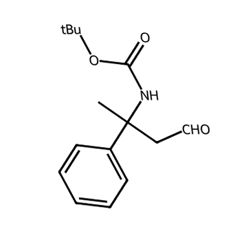 CC(C)(C)OC(=O)NC(C)(CC=O)c1ccccc1